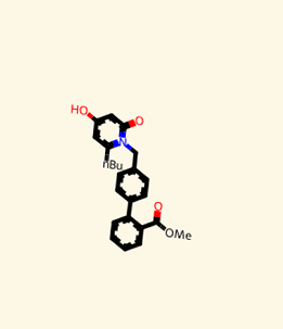 CCCCc1cc(O)cc(=O)n1Cc1ccc(-c2ccccc2C(=O)OC)cc1